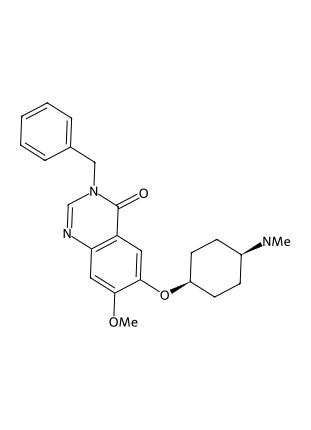 CN[C@H]1CC[C@@H](Oc2cc3c(=O)n(Cc4ccccc4)cnc3cc2OC)CC1